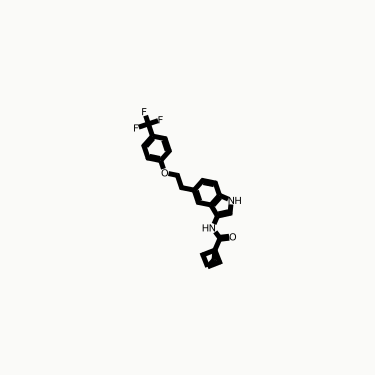 O=C(Nc1c[nH]c2ccc(CCOc3ccc(C(F)(F)F)cc3)cc12)C12CC(C1)C2